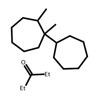 CC1CCCCCC1(C)C1CCCCCC1.CCC(=O)CC